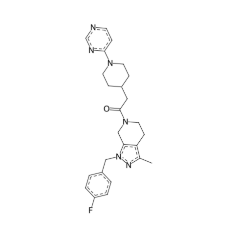 Cc1nn(Cc2ccc(F)cc2)c2c1CCN(C(=O)CC1CCN(c3ccncn3)CC1)C2